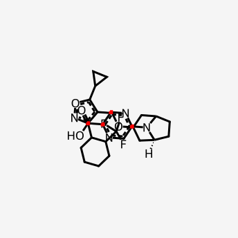 O=C(O)c1cnc(N2C3CC[C@H]2CC(OCc2c(C4CCCCC4C(F)(F)F)noc2C2CC2)C3)cn1